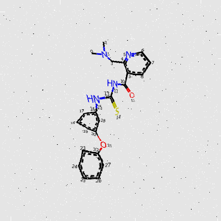 CN(C)Cc1ncccc1C(=O)NC(=S)Nc1cccc(Oc2ccccc2)c1